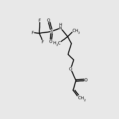 C=CC(=O)OCCCC(C)(C)NS(=O)(=O)C(F)(F)F